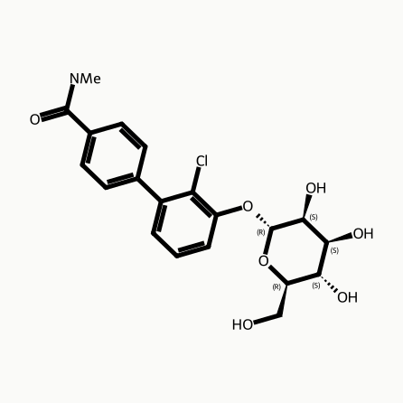 CNC(=O)c1ccc(-c2cccc(O[C@H]3O[C@H](CO)[C@@H](O)[C@H](O)[C@@H]3O)c2Cl)cc1